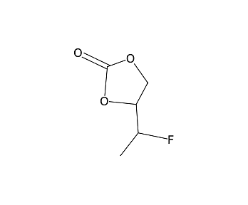 CC(F)C1COC(=O)O1